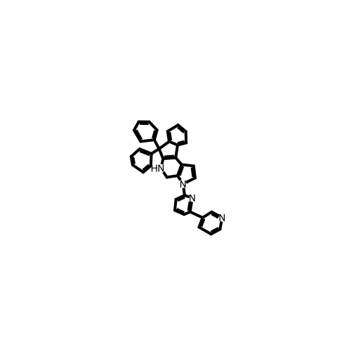 c1ccc(C2(c3ccccc3)C3=C(c4ccccc42)c2ccn(-c4cccc(-c5cccnc5)n4)c2CN3)cc1